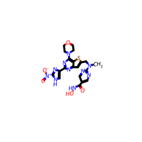 CN(Cc1cc2nc(-c3c[nH]c([N+](=O)[O-])n3)nc(N3CCOCC3)c2s1)c1ncc(C(=O)NO)cn1